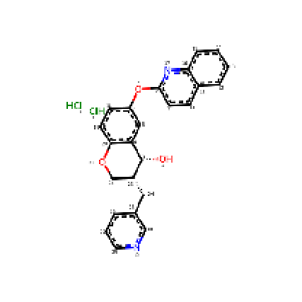 Cl.Cl.O[C@H]1c2cc(Oc3ccc4ccccc4n3)ccc2OC[C@H]1Cc1cccnc1